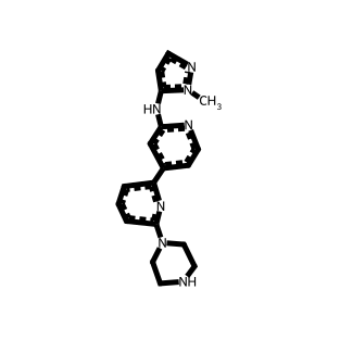 Cn1nccc1Nc1cc(-c2cccc(N3CCNCC3)n2)ccn1